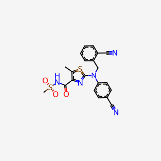 Cc1sc(N(Cc2ccccc2C#N)c2ccc(C#N)cc2)nc1C(=O)NS(C)(=O)=O